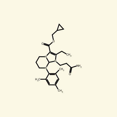 CCC1=C(C(=O)OCC2CC2)N2CCCN(c3c(C)cc(C)cc3C)C2N1CCC(N)=O